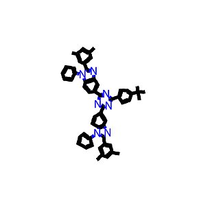 Cc1cc(C)cc(-c2nc3cc(-c4nc(-c5ccc(C(C)(C)C)cc5)nc(-c5ccc6c(c5)nc(-c5cc(C)cc(C)c5)n6-c5ccccc5)n4)ccc3n2-c2ccccc2)c1